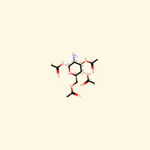 CC(=O)OC[C@H]1O[C@H](OC(C)=O)[C@@H](N)[C@@H](OC(C)=O)[C@@H]1OC(C)=O